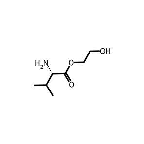 CC(C)[C@H](N)C(=O)OCCO